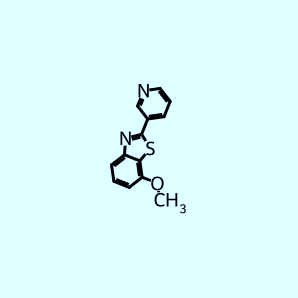 COc1cccc2nc(-c3cccnc3)sc12